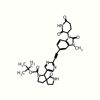 Cn1c(=O)n(C2CCC(=O)NC2=O)c2ccc(C#Cc3ncc(C4N(C(=O)OC(C)(C)C)CCC45CCNC5=O)cn3)cc21